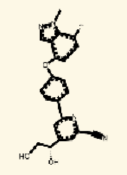 Cn1ncc2c(Oc3ccc(-c4cc([C@H](O)CO)cc(C#N)n4)cc3)ccc(Cl)c21